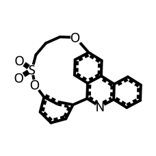 O=S1(=O)CCCOc2ccc3c(nc4ccccc4c3c2)-c2cccc(c2)O1